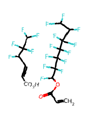 C=CC(=O)OC(F)C(F)(F)C(F)(F)C(F)(F)C(F)(F)C(F)C(F)F.O=C(O)C=CC(F)C(F)(F)C(F)F